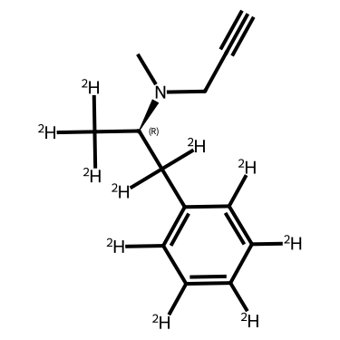 [2H]c1c([2H])c([2H])c(C([2H])([2H])[C@H](N(C)CC#C)C([2H])([2H])[2H])c([2H])c1[2H]